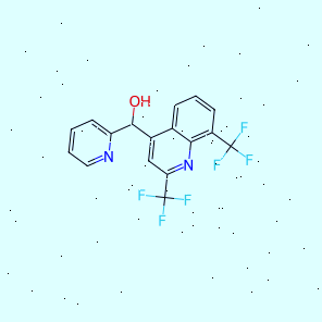 OC(c1ccccn1)c1cc(C(F)(F)F)nc2c(C(F)(F)F)cccc12